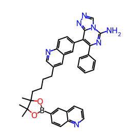 CC1(C)OB(c2ccc3ncccc3c2)OC1(C)CCCCc1cnc2ccc(-c3c(-c4ccccc4)nc(N)n4cnnc34)cc2c1